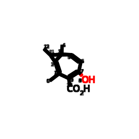 CC1=C2C3(C)C(=CC(O)=C1C(=O)O)C23C